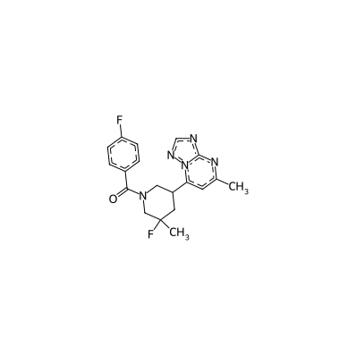 Cc1cc(C2CN(C(=O)c3ccc(F)cc3)CC(C)(F)C2)n2ncnc2n1